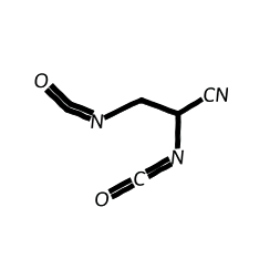 N#CC(CN=C=O)N=C=O